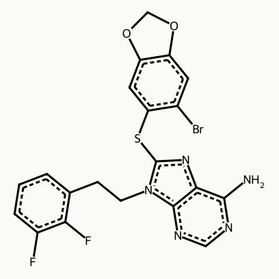 Nc1ncnc2c1nc(Sc1cc3c(cc1Br)OCO3)n2CCc1cccc(F)c1F